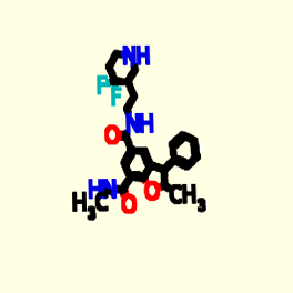 CNC(=O)c1cc(C(=O)NCCC2CNCCC2(F)F)cc2c1OC(C)C2c1ccccc1